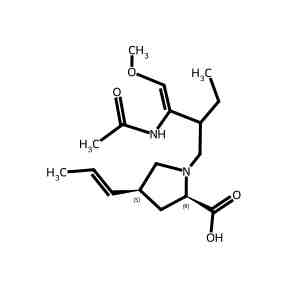 CC=C[C@@H]1C[C@H](C(=O)O)N(CC(CC)C(=COC)NC(C)=O)C1